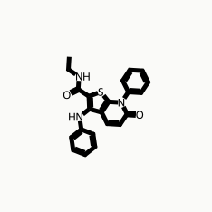 CCNC(=O)c1sc2c(ccc(=O)n2-c2ccccc2)c1Nc1ccccc1